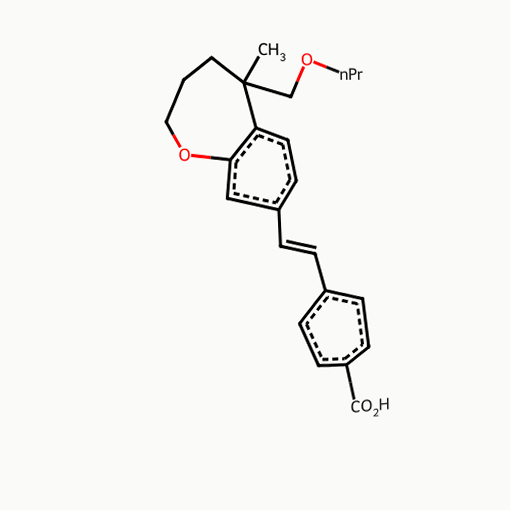 CCCOCC1(C)CCCOc2cc(/C=C/c3ccc(C(=O)O)cc3)ccc21